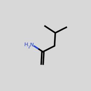 C=C(N)CC(C)C